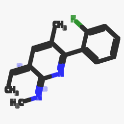 C/C=C1/C=C(C)C(c2ccccc2F)=N/C1=N/C